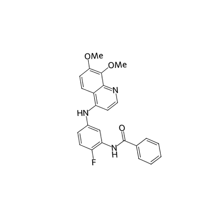 COc1ccc2c(Nc3ccc(F)c(NC(=O)c4ccccc4)c3)ccnc2c1OC